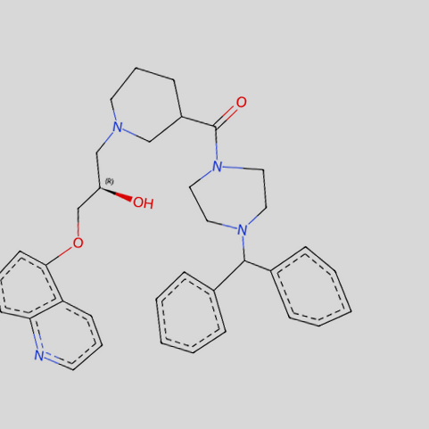 O=C(C1CCCN(C[C@@H](O)COc2cccc3ncccc23)C1)N1CCN(C(c2ccccc2)c2ccccc2)CC1